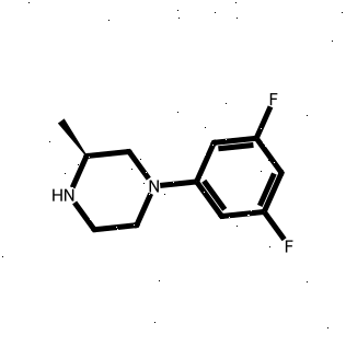 C[C@H]1CN(c2cc(F)cc(F)c2)CCN1